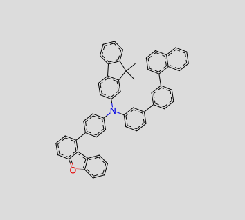 CC1(C)c2ccccc2-c2ccc(N(c3ccc(-c4cccc5oc6ccccc6c45)cc3)c3cccc(-c4cccc(-c5cccc6ccccc56)c4)c3)cc21